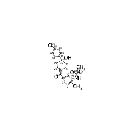 Cc1ccc(C(=O)N2CCC(O)(c3ccc(Cl)cc3)CC2)cc1NS(C)(=O)=O